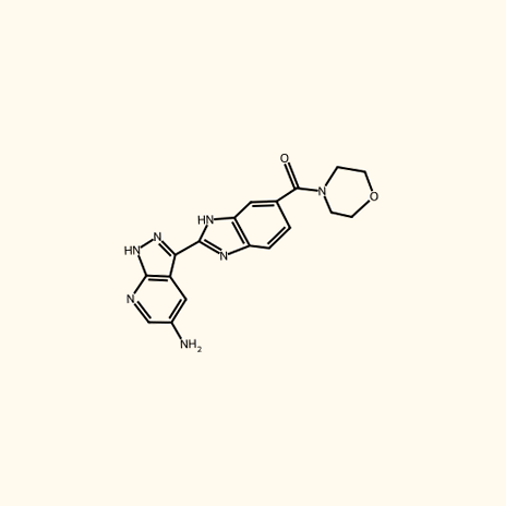 Nc1cnc2[nH]nc(-c3nc4ccc(C(=O)N5CCOCC5)cc4[nH]3)c2c1